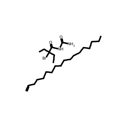 C=CCCCCCCCCCCCCCCCC.CCC(Br)(CC)C(=O)NC(N)=O